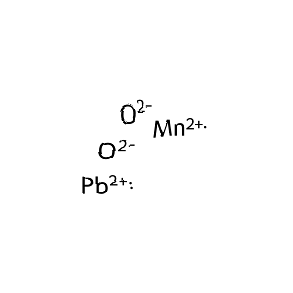 [Mn+2].[O-2].[O-2].[Pb+2]